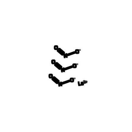 O=N[O-].O=N[O-].O=N[O-].[La+3]